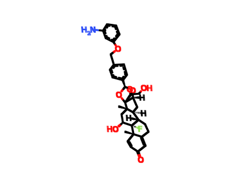 C[C@]12C=CC(=O)C=C1CC[C@H]1[C@@H]3C[C@H]4O[C@H](c5ccc(COc6cccc(N)c6)cc5)O[C@@]4(C(=O)CO)[C@@]3(C)C[C@H](O)[C@@]12F